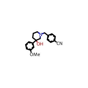 COc1cccc(C2(O)CCCN(Cc3ccc(C#N)cc3)C2)c1